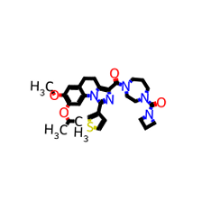 COc1cc2c(cc1OC(C)C)-n1c(-c3ccsc3)nc(C(=O)N3CCCN(C(=O)N4CCC4)CC3)c1CC2